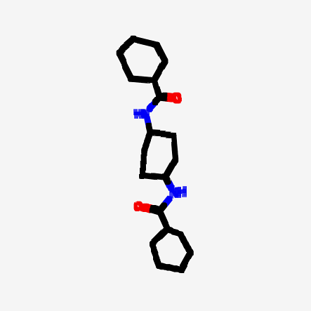 O=C(NC1CCC(NC(=O)C2CCCCC2)CC1)C1CCCCC1